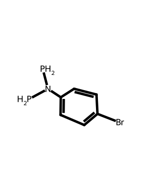 PN(P)c1ccc(Br)cc1